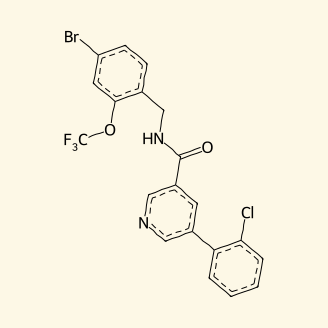 O=C(NCc1ccc(Br)cc1OC(F)(F)F)c1cncc(-c2ccccc2Cl)c1